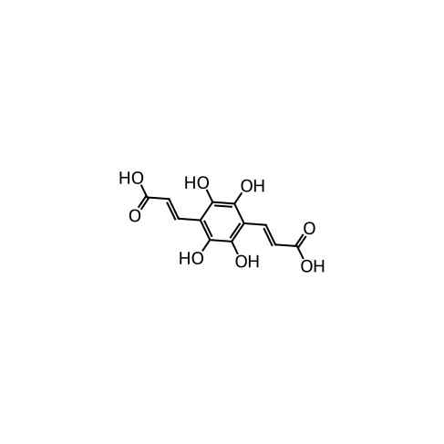 O=C(O)C=Cc1c(O)c(O)c(C=CC(=O)O)c(O)c1O